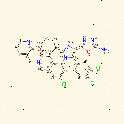 CN(Cc1cccnc1)C(=O)Cc1ccc(Cl)cc1-n1c(C2CCCCC2)nc(-c2nnc(N)o2)c1-c1ccc(F)c(Cl)c1